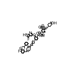 COc1cc(CN2CCN(C3CC4(C3)CN(c3ccc(C(=O)NS(=O)(=O)c5ccc(NCC6CCC(C)(O)CC6)c([N+](=O)[O-])c5)c(Oc5cnc6[nH]cc(F)c6c5)c3)C4)[C@H](c3ccccc3C(C)C)C2)ccc1F